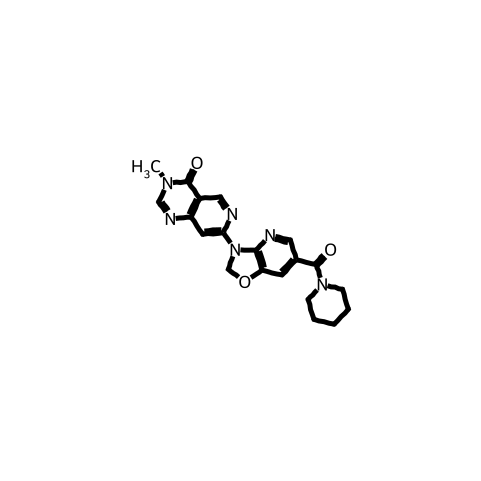 Cn1cnc2cc(N3COc4cc(C(=O)N5CCCCC5)cnc43)ncc2c1=O